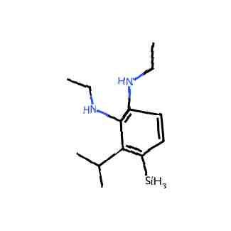 CCNc1ccc([SiH3])c(C(C)C)c1NCC